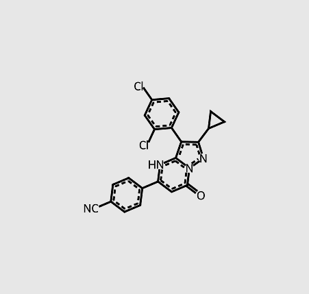 N#Cc1ccc(-c2cc(=O)n3nc(C4CC4)c(-c4ccc(Cl)cc4Cl)c3[nH]2)cc1